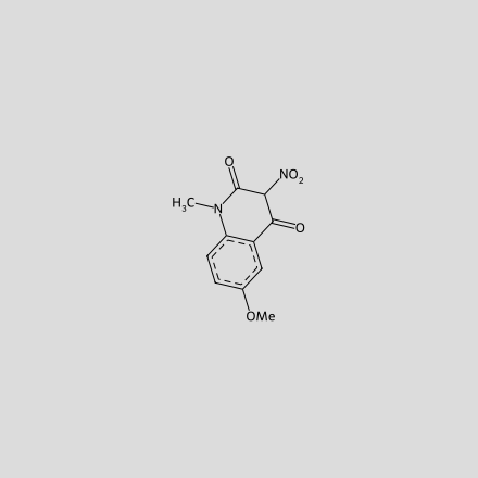 COc1ccc2c(c1)C(=O)C([N+](=O)[O-])C(=O)N2C